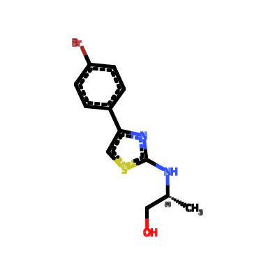 C[C@H](CO)Nc1nc(-c2ccc(Br)cc2)cs1